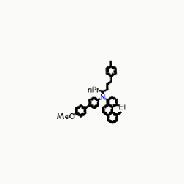 CCCC(CCCc1ccc(C)cc1)N(c1ccc(-c2ccc(OC)cc2)cc1)c1ccc(CC)c2c1ccc1cccc(C)c12